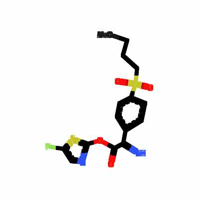 COCCCS(=O)(=O)c1ccc(C(=N)C(=O)Oc2ncc(F)s2)cc1